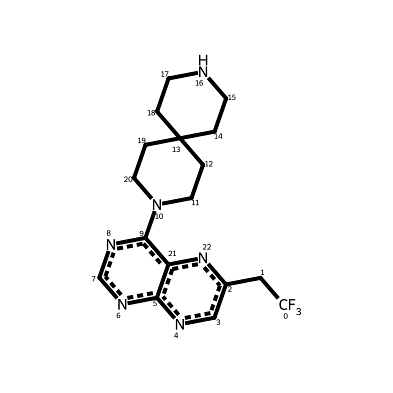 FC(F)(F)Cc1cnc2ncnc(N3CCC4(CCNCC4)CC3)c2n1